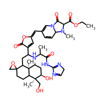 CCOC(=O)C1C(=O)N2C=C(/C=C3\C=C(C(CC4C5(CCC6[C@]4(C)CC[C@@H](O)[C@@]6(C)CO)CO5)NC(C)C(=O)NC4=NCC=N4)C(=O)O3)C=CC2N1C